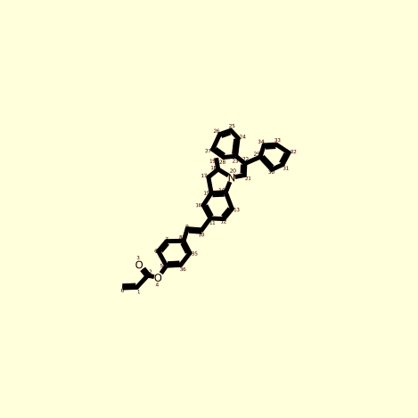 C=CC(=O)Oc1ccc(C=Cc2ccc3c(c2)CC(C)N3C=C(c2ccccc2)c2ccccc2)cc1